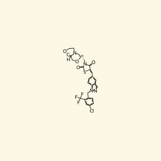 O=C1SC(=Cc2ccc3c(cnn3Cc3ccc(Cl)cc3C(F)(F)F)c2)C(=O)N1C[C@H]1CN2CCOC[C@H]2CO1